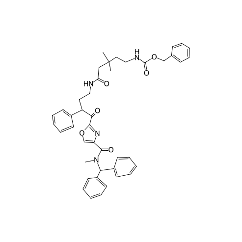 CN(C(=O)c1coc(C(=O)C(CCNC(=O)CC(C)(C)CCNC(=O)OCc2ccccc2)c2ccccc2)n1)C(c1ccccc1)c1ccccc1